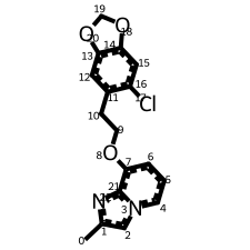 Cc1cn2cccc(OCCc3cc4c(cc3Cl)OCO4)c2n1